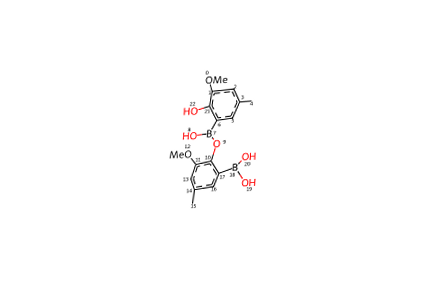 COc1cc(C)cc(B(O)Oc2c(OC)cc(C)cc2B(O)O)c1O